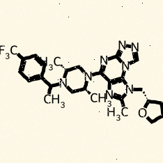 Cc1nc2c(N3C[C@@H](C)N(C(C)c4ccc(C(F)(F)F)cc4)C[C@@H]3C)nc3nncn3c2n1C[C@@H]1CCCO1